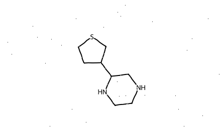 C1CNC(C2CCSC2)CN1